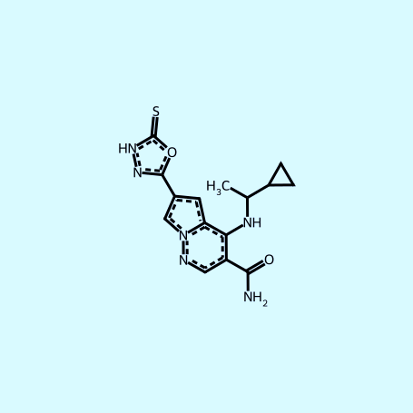 CC(Nc1c(C(N)=O)cnn2cc(-c3n[nH]c(=S)o3)cc12)C1CC1